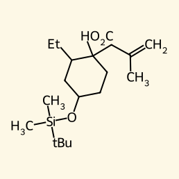 C=C(C)CC1(C(=O)O)CCC(O[Si](C)(C)C(C)(C)C)CC1CC